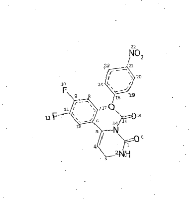 O=C1NCC=C(c2ccc(F)c(F)c2)N1C(=O)Oc1ccc([N+](=O)[O-])cc1